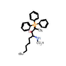 CC(C)(C)CCCCC(NC(=O)O)C(=O)C(C#N)=P(c1ccccc1)(c1ccccc1)c1ccccc1